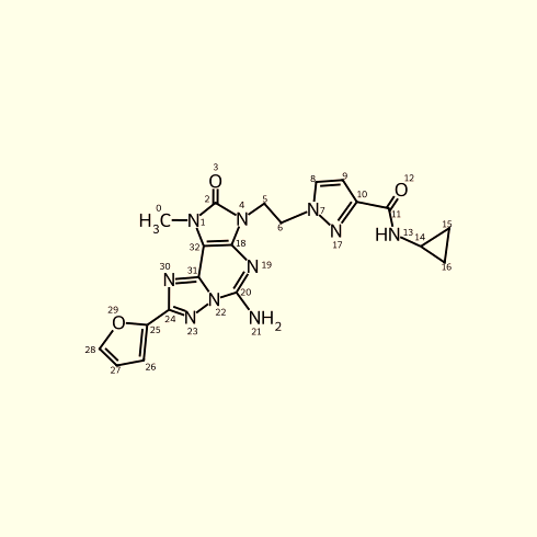 Cn1c(=O)n(CCn2ccc(C(=O)NC3CC3)n2)c2nc(N)n3nc(-c4ccco4)nc3c21